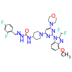 COc1cccc2c1nc(C(F)F)n2-c1nc(N2CCOCC2)cc(N2CCC(NC(=O)N/N=C/c3ccc(F)cc3F)CC2)n1